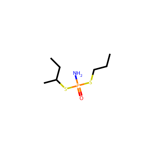 CCCSP(N)(=O)SC(C)CC